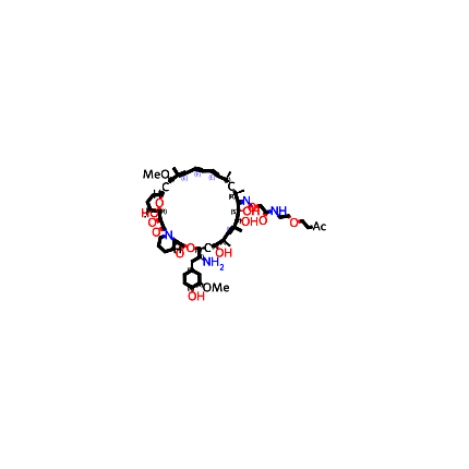 CO[C@H]1C[C@@H]2CC[C@@H](C)[C@@](O)(O2)C(=O)C(=O)N2CCCC[C@H]2C(=O)O[C@H]([C@H](N)C[C@@H]2CC[C@@H](O)[C@H](OC)C2)C[C@@H](O)[C@H](C)/C=C(\C)[C@@H](O)[C@@H](O)C(=NOCC(=O)NCCOCCC(C)=O)[C@H](C)C[C@H](C)/C=C/C=C/C=C/1C